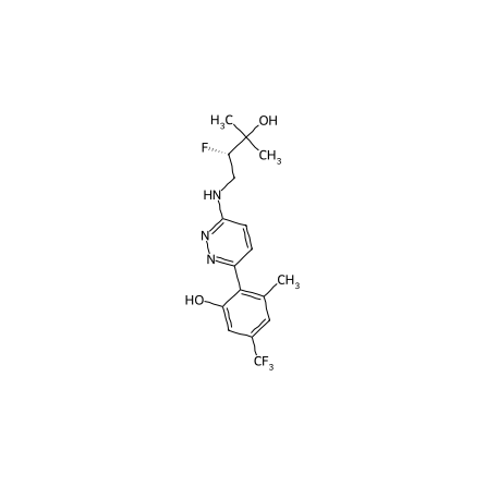 Cc1cc(C(F)(F)F)cc(O)c1-c1ccc(NC[C@H](F)C(C)(C)O)nn1